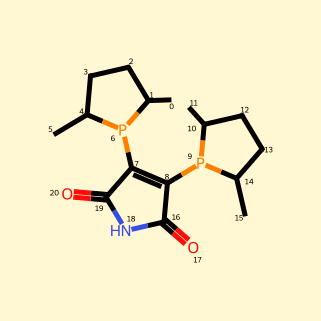 CC1CCC(C)P1C1=C(P2C(C)CCC2C)C(=O)NC1=O